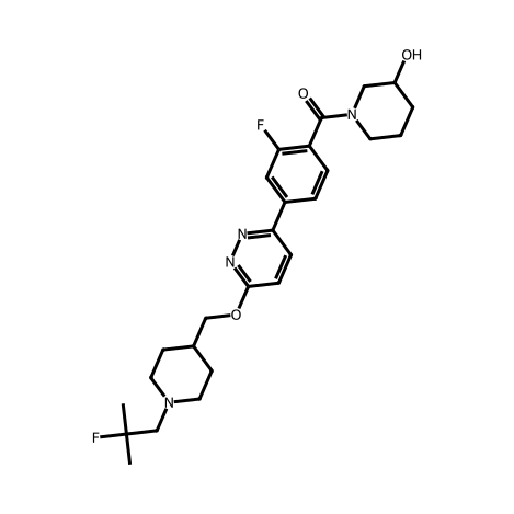 CC(C)(F)CN1CCC(COc2ccc(-c3ccc(C(=O)N4CCCC(O)C4)c(F)c3)nn2)CC1